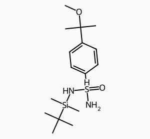 COC(C)(C)c1ccc([SH](N)(=O)N[Si](C)(C)C(C)(C)C)cc1